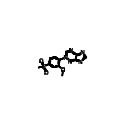 COc1cc(S(C)(=O)=O)ccc1-n1cnc2ncnc-2n1